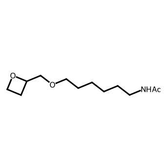 CC(=O)NCCCCCCOCC1CCO1